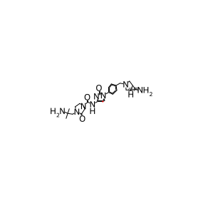 CC(C)(N)CN1CCN(C(=O)Nc2ccn(-c3ccc(CN4CC5[C@@H](N)[C@@H]5C4)cc3)c(=O)n2)CC1=O